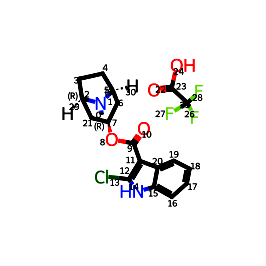 CN1[C@@H]2CC[C@H]1C[C@@H](OC(=O)c1c(Cl)[nH]c3ccccc13)C2.O=C(O)C(F)(F)F